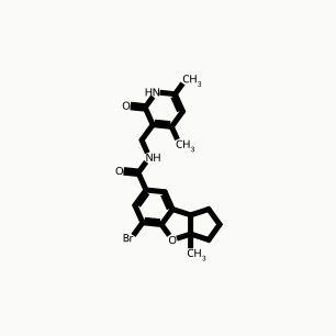 Cc1cc(C)c(CNC(=O)c2cc(Br)c3c(c2)C2CCCC2(C)O3)c(=O)[nH]1